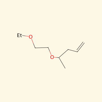 C=CCC(C)OCCOCC